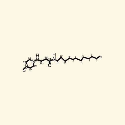 CCCCCCCCCCCCNC(=O)CCNN1CCN(C)CC1